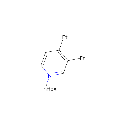 CCCCCC[n+]1ccc(CC)c(CC)c1